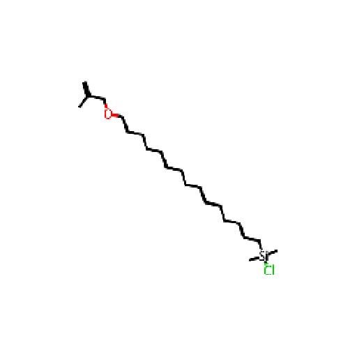 C=C(C)COCCCCCCCCCCCCCCC[Si](C)(C)Cl